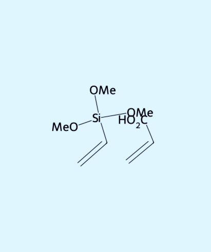 C=CC(=O)O.C=C[Si](OC)(OC)OC